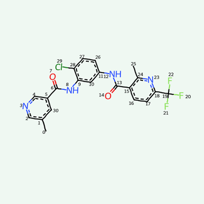 Cc1cncc(C(=O)Nc2cc(NC(=O)c3ccc(C(F)(F)F)nc3C)ccc2Cl)c1